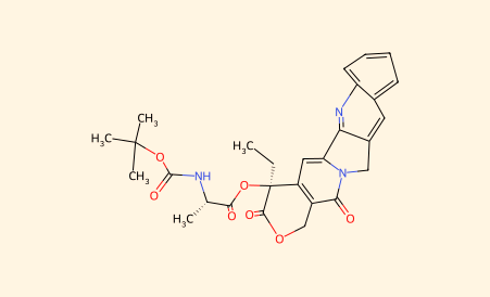 CC[C@@]1(OC(=O)[C@H](C)NC(=O)OC(C)(C)C)C(=O)OCc2c1cc1n(c2=O)Cc2cc3ccccc3nc2-1